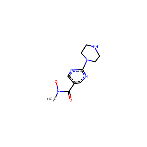 [O]N(C(=O)O)C(=O)c1cnc(N2CCNCC2)nc1